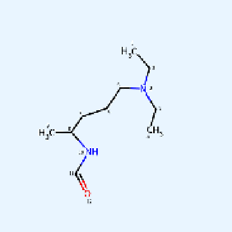 CCN(CC)CCCC(C)N[C]=O